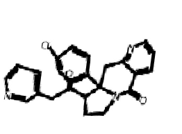 O=C(Cc1cccnc1)C1CCN2C(=O)c3cccnc3CC12c1ccc(Cl)cc1